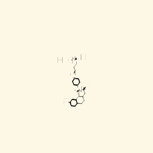 CN(C)CCCOc1ccc(N2N=C3c4cc(F)ccc4CCC3CC2=O)cc1